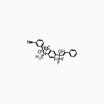 Cc1cc(C(O)(C=Cc2ccccc2)C(F)(F)F)ccc1N(C)S(=O)(=O)c1cccc(C#N)c1